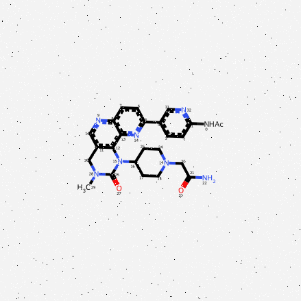 CC(=O)Nc1ccc(-c2ccc3ncc4c(c3n2)N(C2CCN(CC(N)=O)CC2)C(=O)N(C)C4)cn1